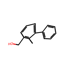 Cc1c(CO)cccc1-c1ccccc1